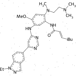 CCC(C)/C=C/C(=O)Nc1cc(Nc2cc(-c3ccc4c(cnn4CC)c3)ncn2)c(OC)cc1N(C)CCN(C)C